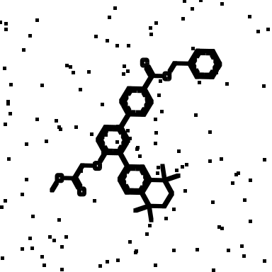 COC(=O)COc1ccc(-c2ccc(C(=O)OCc3ccccc3)cc2)cc1-c1ccc2c(c1)C(C)(C)CCC2(C)C